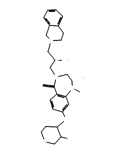 CN1CCN(C[C@H](O)CN2CCc3ccccc3C2)C(=O)c2ccc(OC3CCNCC3F)cc21.Cl